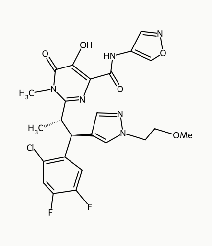 COCCn1cc([C@@H](c2cc(F)c(F)cc2Cl)[C@H](C)c2nc(C(=O)Nc3cnoc3)c(O)c(=O)n2C)cn1